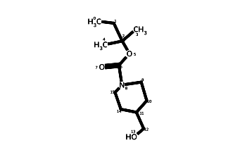 CCC(C)(C)OC(=O)N1CCC(CO)CC1